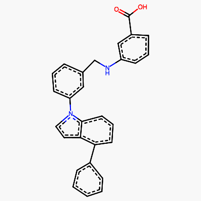 O=C(O)c1cccc(NCc2cccc(-n3ccc4c(-c5ccccc5)cccc43)c2)c1